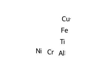 [Al].[Cr].[Cu].[Fe].[Ni].[Ti]